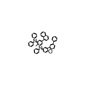 Cc1c(N(c2ccccc2)c2ccccc2)cc(-c2cccc3ccccc23)cc1N(c1ccccc1)c1ccc2oc3ccc(-c4ccccc4)cc3c2c1